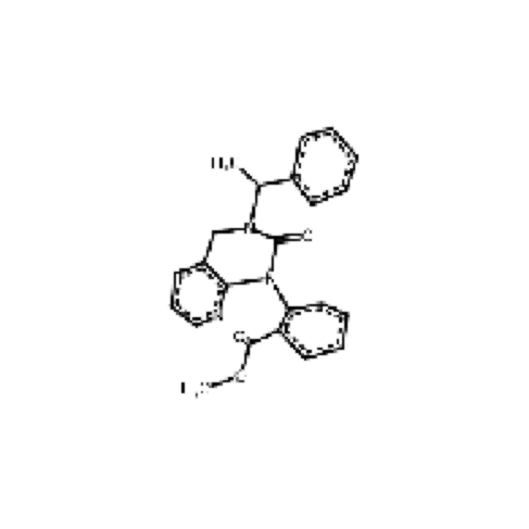 COC(=O)c1ccccc1N1C(=O)N(C(C)c2ccccc2)Cc2cccnc21